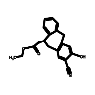 CCOC(=O)C[C@@H]1Cc2cc(C#N)c(O)cc2Cc2ccccc21